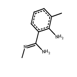 C/N=C(\N)c1cccc(C)c1N